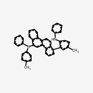 Cc1ccc(N(c2ccccc2)c2cc3c4cccc(-c5cc(C)ccc5Nc5ccccc5)c4ccc3c3ccccc23)cc1